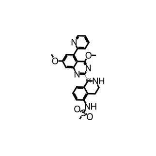 COc1cc(-c2ccccn2)c2c(OC)nc([C@@H]3NCCc4c(NS(C)(=O)=O)cccc43)nc2c1